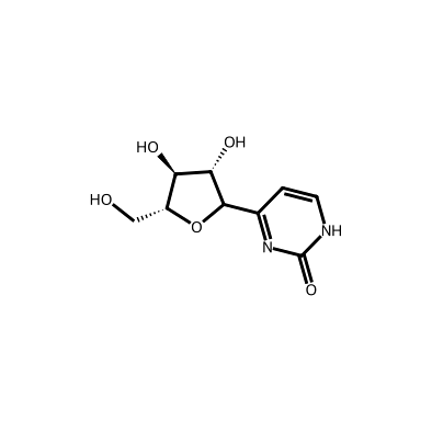 O=c1nc(C2O[C@H](CO)[C@@H](O)[C@@H]2O)cc[nH]1